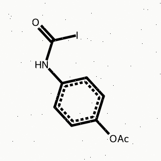 CC(=O)Oc1ccc(NC(=O)I)cc1